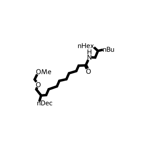 CCCCCCCCCCC(CCCCCCCCC(=O)NCC(CCCC)CCCCCC)COCOC